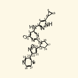 Clc1cc(Nc2cc(C3CC3)[nH]n2)nc(N2CCCC2c2cc(-c3cnccn3)no2)n1